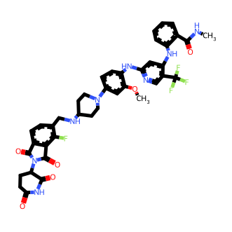 CNC(=O)c1ccccc1Nc1cc(Nc2ccc(N3CCC(NCc4ccc5c(c4F)C(=O)N(C4CCC(=O)NC4=O)C5=O)CC3)cc2OC)ncc1C(F)(F)F